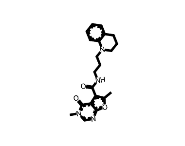 Cc1oc2ncn(C)c(=O)c2c1C(=O)NCCCN1CCCc2ccccc21